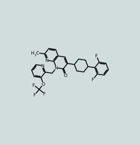 Cc1ccc2cc(C3CCC(c4c(F)cccc4F)CC3)c(=O)n(Cc3ncccc3OC(F)(F)F)c2n1